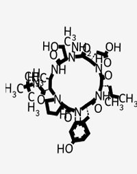 CC(C)C[C@@H]1NC(=O)[C@H](Cc2ccc(O)cc2)NC(=O)[C@@H]2CCCN2[C@H](C(=O)NC(C)(C)C)[C@H](C)NC(=O)[C@H]([C@@H](C)O)N(N)C(=O)[C@H](CC(=O)O)NC1=O